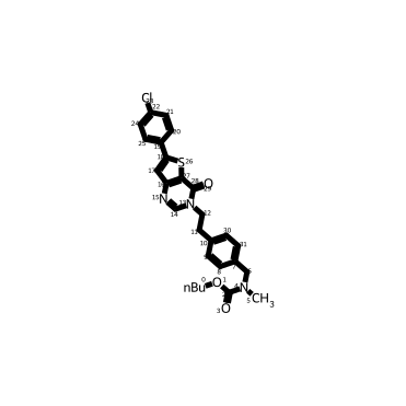 CCCCOC(=O)N(C)Cc1ccc(CCn2cnc3cc(-c4ccc(Cl)cc4)sc3c2=O)cc1